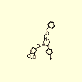 Fc1ccc([C@@H]2CCN(COCc3ccccc3)C[C@H]2COc2ccc3c(c2)OCO3)cc1